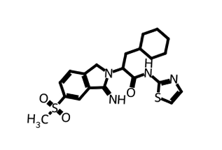 CS(=O)(=O)c1ccc2c(c1)C(=N)N(C(CC1CCCCC1)C(=O)Nc1nccs1)C2